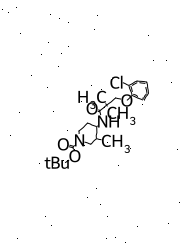 CC1CN(C(=O)OC(C)(C)C)CCC1NC(=O)C(C)(C)COc1ccccc1Cl